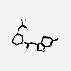 O=C(O)C[C@H]1CN(C(=O)Cc2c[nH]c3cc(F)ccc23)CCO1